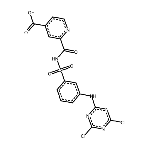 O=C(O)c1ccnc(C(=O)NS(=O)(=O)c2cccc(Nc3nc(Cl)nc(Cl)n3)c2)c1